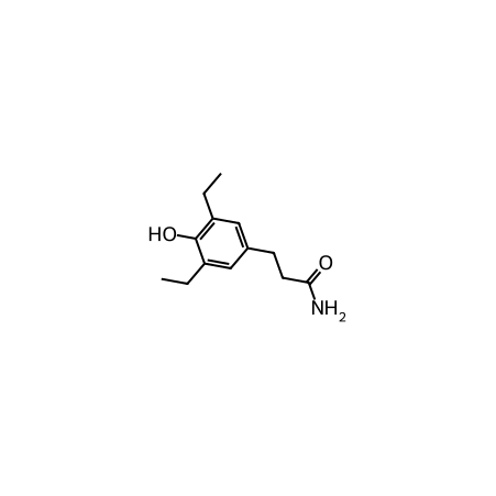 CCc1cc(CCC(N)=O)cc(CC)c1O